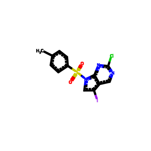 Cc1ccc(S(=O)(=O)n2cc(I)c3cnc(Cl)nc32)cc1